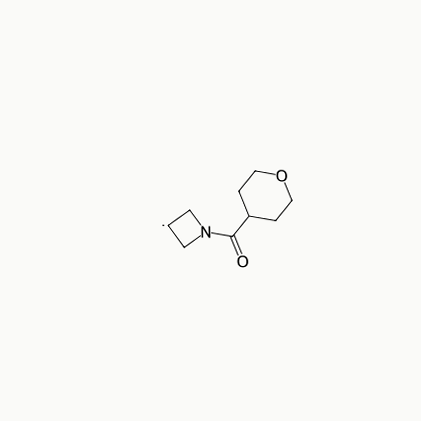 O=C(C1CCOCC1)N1C[CH]C1